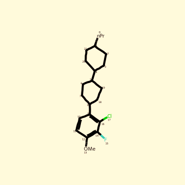 CCCC1CCC(C2CCC(c3ccc(OC)c(F)c3Cl)CC2)CC1